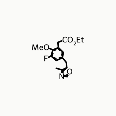 CCOC(=O)Cc1cc(Cc2ocnc2C)cc(F)c1OC